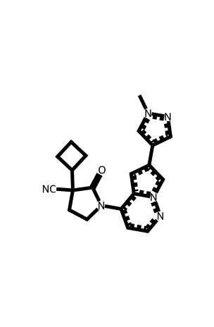 Cn1cc(-c2cc3c(N4CCC(C#N)(C5CCC5)C4=O)ccnn3c2)cn1